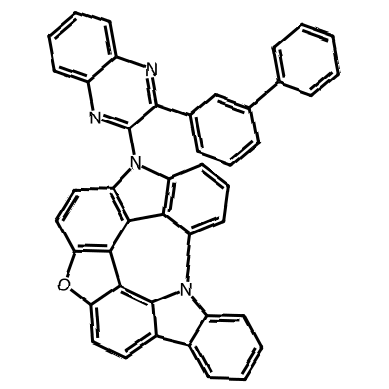 c1ccc(-c2cccc(-c3nc4ccccc4nc3-n3c4ccc5oc6ccc7c8ccccc8n8c9cccc3c9c4c5c6c78)c2)cc1